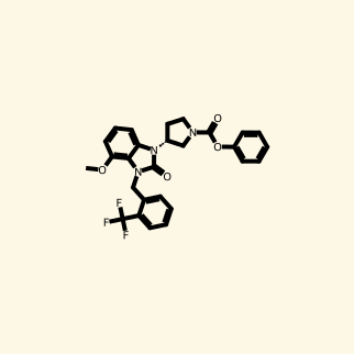 COc1cccc2c1n(Cc1ccccc1C(F)(F)F)c(=O)n2[C@@H]1CCN(C(=O)Oc2ccccc2)C1